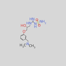 CN(C)Cc1cccc(OCC(O)CNC(=N)NS(N)(=O)=O)c1